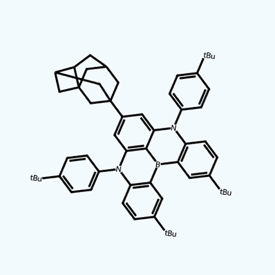 CC(C)(C)c1ccc(N2c3ccc(C(C)(C)C)cc3B3c4cc(C(C)(C)C)ccc4N(c4ccc(C(C)(C)C)cc4)c4cc(C56CC7CC8C(C5)CC8(C7)C6)cc2c43)cc1